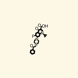 O=C(CN1CCN(c2cc3c(cc2F)c(=O)c(C(=O)O)cn3C2CC2)CC1)c1ccccc1